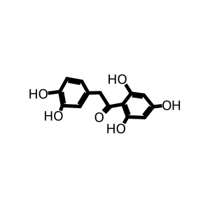 O=C(Cc1ccc(O)c(O)c1)c1c(O)cc(O)cc1O